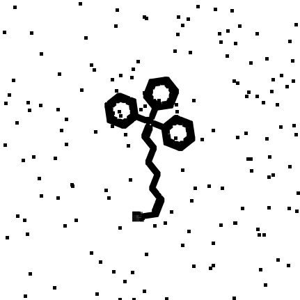 CC/C=C\CCCCC=P(c1ccccc1)(c1ccccc1)c1ccccc1